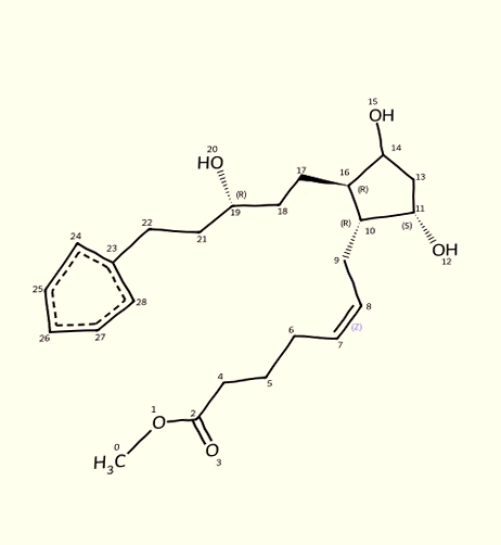 COC(=O)CCC/C=C\C[C@H]1[C@@H](O)CC(O)[C@@H]1CC[C@@H](O)CCc1ccccc1